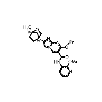 COc1ncccc1NC(=O)c1cn2cc([C@]34CC[C@](C)(C3)OC4)nc2nc1OC(C)C